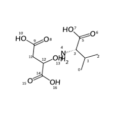 CC(C)[C@H](N)C(=O)O.O=C(O)CC(O)C(=O)O